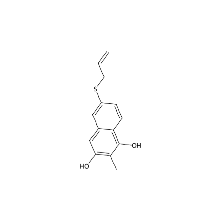 C=CCSc1ccc2c(O)c(C)c(O)cc2c1